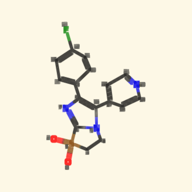 O=S1(=O)CCn2c1nc(-c1ccc(F)cc1)c2-c1ccncc1